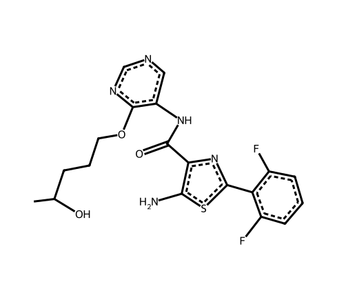 CC(O)CCCOc1ncncc1NC(=O)c1nc(-c2c(F)cccc2F)sc1N